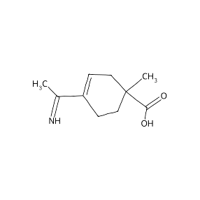 CC(=N)C1=CCC(C)(C(=O)O)CC1